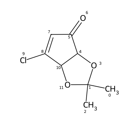 CC1(C)OC2C(=O)C=C(Cl)C2O1